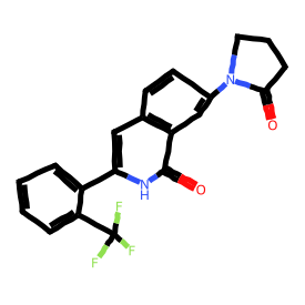 O=C1CCCN1c1ccc2cc(-c3ccccc3C(F)(F)F)[nH]c(=O)c2c1